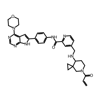 C=CC(=O)N1CCC(NCc2ccnc(C(=O)Nc3ccc(-c4cc5c(N6CCOCC6)ncnc5[nH]4)cc3)c2)C2(CC2)C1